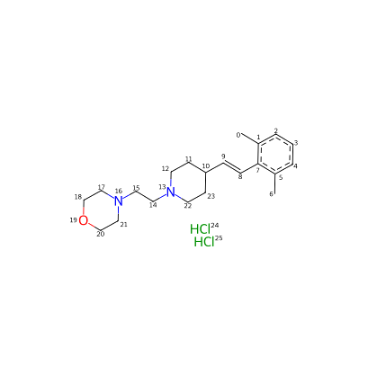 Cc1cccc(C)c1/C=C/C1CCN(CCN2CCOCC2)CC1.Cl.Cl